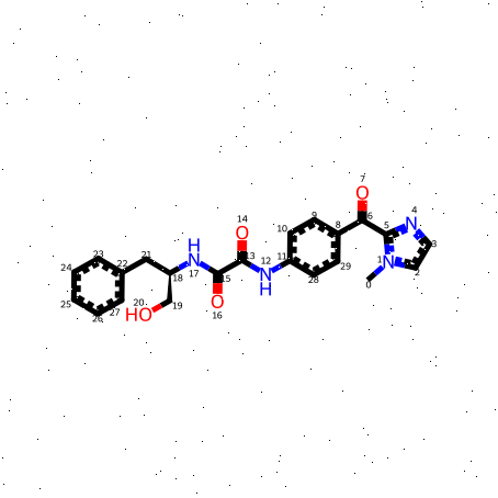 Cn1ccnc1C(=O)c1ccc(NC(=O)C(=O)N[C@@H](CO)Cc2ccccc2)cc1